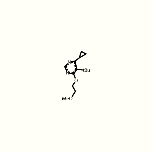 COCCOc1ncnc(C2CC2)c1C(C)(C)C